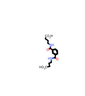 O=C(O)CCCNC(=O)c1cccc(C(=O)NCCCC(=O)O)c1